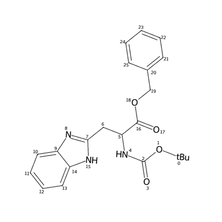 CC(C)(C)OC(=O)NC(Cc1nc2ccccc2[nH]1)C(=O)OCc1ccccc1